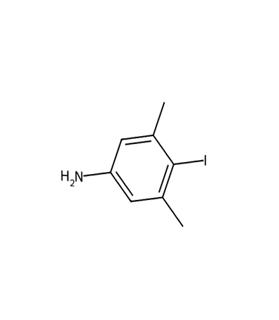 Cc1cc(N)cc(C)c1I